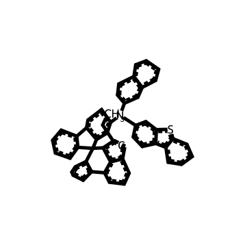 CCc1ccc2cccc3c2c1C1(c2ccccc2-c2ccc(N(c4ccc5ccccc5c4)c4ccc5c(c4)sc4ccccc45)cc21)c1ccccc1-3